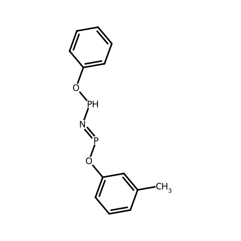 Cc1cccc(OP=NPOc2ccccc2)c1